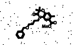 COC(=O)c1cc2c(cc1C)OC(C)(C)C(=O)N2CCCCOCc1ccccc1